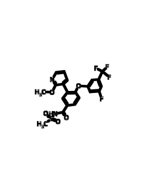 COc1ncccc1-c1cc(C(=O)NS(C)(=O)=O)ccc1Oc1cc(F)cc(C(F)(F)F)c1